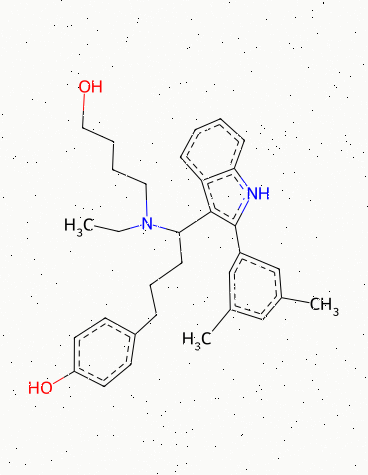 CCN(CCCCO)C(CCCc1ccc(O)cc1)c1c(-c2cc(C)cc(C)c2)[nH]c2ccccc12